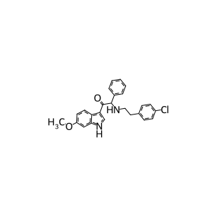 COc1ccc2c(C(=O)C(NCCc3ccc(Cl)cc3)c3ccccc3)c[nH]c2c1